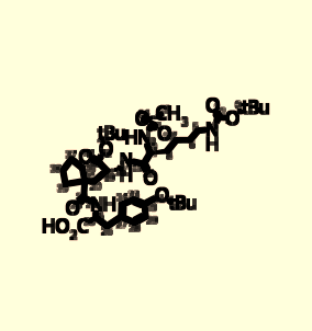 CC(C)(C)OC(=O)NCCCC[C@H](NS(C)(=O)=O)C(=O)NC[C@H](CC1(C(=O)N[C@@H](Cc2ccc(OC(C)(C)C)cc2)C(=O)O)CCCC1)C(=O)OC(C)(C)C